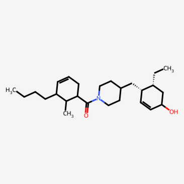 CCCCC1C=CCC(C(=O)N2CCC(C[C@H]3C=CC(O)C[C@H]3CC)CC2)C1C